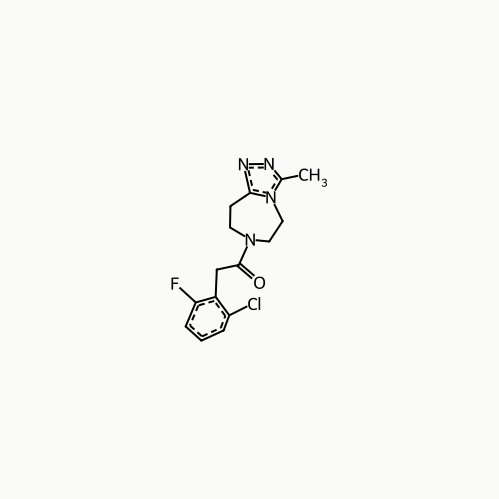 Cc1nnc2n1CCN(C(=O)Cc1c(F)cccc1Cl)CC2